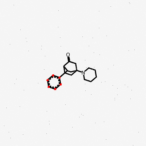 O=C1CC2(N3CCCCC3)CC(c3ccccc3)C1C(c1ccccc1)C2